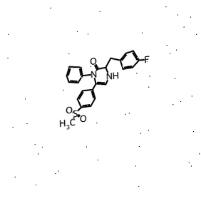 CS(=O)(=O)c1ccc(C2=CNC(Cc3ccc(F)cc3)C(=O)N2c2ccccc2)cc1